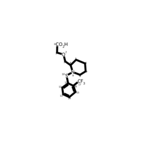 O=C(O)COCC1CCCCN1Sc1ccccc1C(F)(F)F